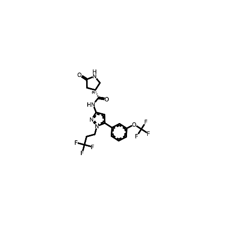 O=C1C[C@@H](C(=O)Nc2cc(-c3cccc(OC(F)(F)F)c3)n(CCC(F)(F)F)n2)CN1